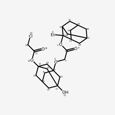 CCC1(OC(=O)COC23CC4CC(O)(C2)CC(OC(=O)CCl)(C4)C3)C2CC3CC(C2)CC1C3